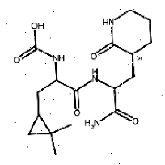 CC1(C)CC1CC(NC(=O)O)C(=O)NC(C[C@@H]1CCCNC1=O)C(N)=O